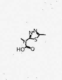 Cc1nnc(N(C)C(=O)O)s1